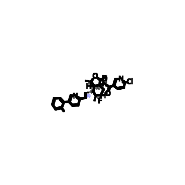 Cc1ccccc1-c1ccc(/C=C/[C@@H]2[C@@H]3[C@@H](C)OC(=O)[C@]3(NC(=O)c3ccc(Cl)nc3)CC(F)(F)[C@H]2C)nc1